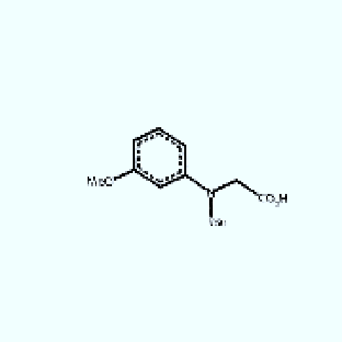 COc1cccc(N(CC(=O)O)C(C)(C)C)c1